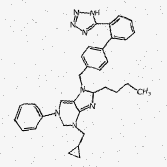 CCCCC1N=C2C(=CN(c3ccccc3)CN2CC2CC2)N1Cc1ccc(-c2ccccc2-c2nnn[nH]2)cc1